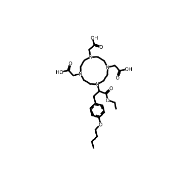 CCCCOc1ccc(CC(C(=O)OCC)N2CCN(CC(=O)O)CCN(CC(=O)O)CCN(CC(=O)O)CC2)cc1